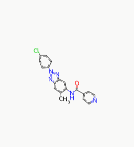 Cc1cc2nn(-c3ccc(Cl)cc3)nc2cc1NC(=O)c1ccncc1